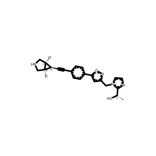 C[C@H](O)c1nccn1Cc1cc(-c2ccc(C#C[C@H]3[C@H]4CNC[C@@H]34)cc2)on1